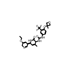 CCOC1=CC(=C2C=C(C)C(NC(=O)Nc3ccc(OC4(C)COC4)c(C(F)(F)F)c3)C(=O)N2)C=NC1